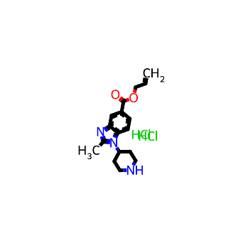 C=CCOC(=O)c1ccc2c(c1)nc(C)n2C1CCNCC1.Cl.Cl